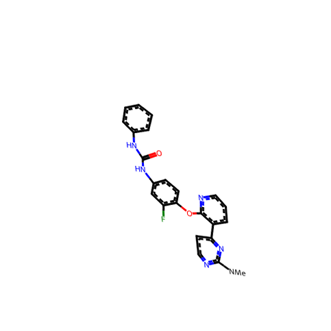 CNc1nccc(-c2cccnc2Oc2ccc(NC(=O)Nc3ccccc3)cc2F)n1